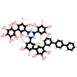 Bc1c(O)c(O)c(B)c(-c2nc(-c3c(O)c(B)c(O)c(-c4c(O)c(O)c(O)c(O)c4O)c3O)nc(-c3c(B)c(O)c(B)c4c3sc3c(-c5cccc(-c6ccc(-c7ccccc7)cc6)c5)c(O)c(O)c(O)c34)n2)c1O